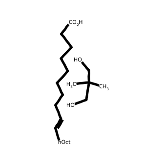 CC(C)(CO)CO.CCCCCCCCC=CCCCCCCCC(=O)O